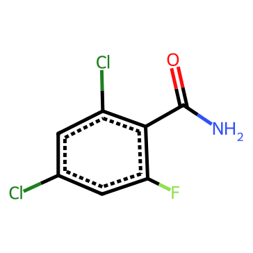 NC(=O)c1c(F)cc(Cl)cc1Cl